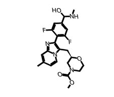 CNC(O)c1cc(F)c(-c2nc3cc(C)ccn3c2C[C@@H]2CN(C(=O)OC)CCO2)c(F)c1